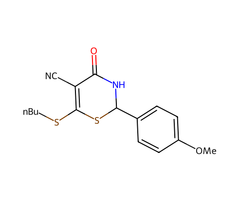 CCCCSC1=C(C#N)C(=O)NC(c2ccc(OC)cc2)S1